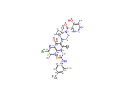 CCc1c(N2CCN(C(=O)c3ncnc(C)c3O)[C@H]3CC[C@@H]32)c(=O)c2nc(Br)c(C)nc2n1CC(=O)Nc1ccc(C(F)(F)F)cc1F